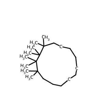 CC1(C)CCCCCCCCCCC(C)(C)C(C)(C)C1(C)C